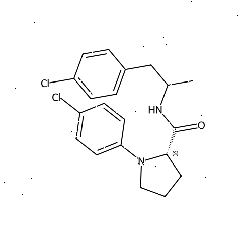 CC(Cc1ccc(Cl)cc1)NC(=O)[C@@H]1CCCN1c1ccc(Cl)cc1